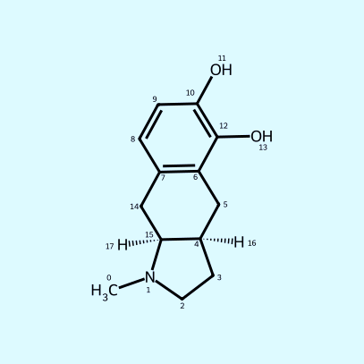 CN1CC[C@@H]2Cc3c(ccc(O)c3O)C[C@@H]21